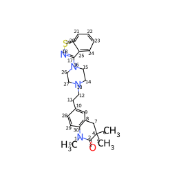 CN1C(=O)C(C)(C)Cc2cc(CCN3CCN(c4nsc5ccccc45)CC3)ccc21